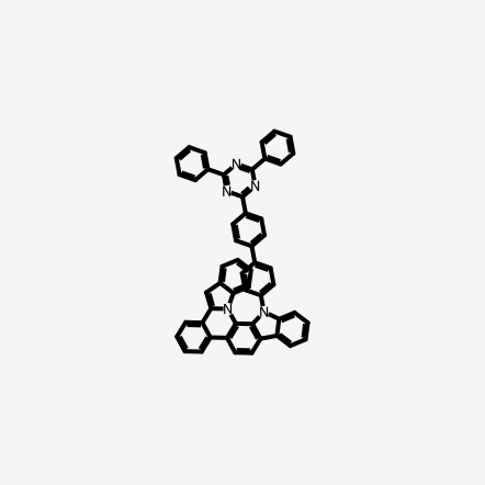 c1ccc(-c2nc(-c3ccccc3)nc(-c3ccc(-c4ccc(-n5c6ccccc6c6ccc7c8ccccc8c8cc9ccccc9n8c7c65)cc4)cc3)n2)cc1